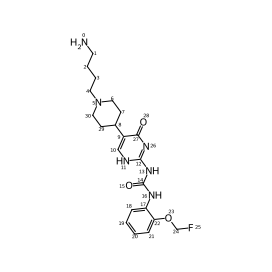 NCCCCN1CCC(c2c[nH]c(NC(=O)Nc3ccccc3OCF)nc2=O)CC1